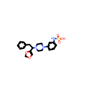 O=S(=O)(O)Nc1cccc(N2CCN(C(Cc3ccccc3)C3=COCO3)CC2)c1